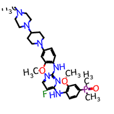 COc1cc(N2CCC(N3CCN(C)CC3)CC2)ccc1Nc1ncc(F)c(Nc2ccc(P(C)(C)=O)cc2OC)n1